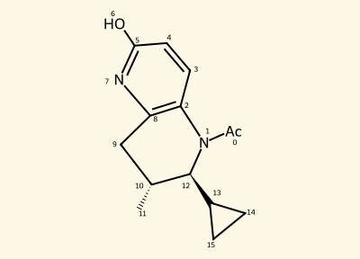 CC(=O)N1c2ccc(O)nc2C[C@@H](C)[C@@H]1C1CC1